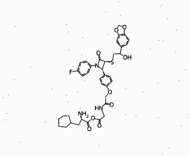 N[C@H](CC1CCCCC1)C(=O)OC(=O)CNC(=O)COc1ccc([C@@H]2[C@H](SCC(O)c3ccc4c(c3)OCO4)C(=O)N2c2ccc(F)cc2)cc1